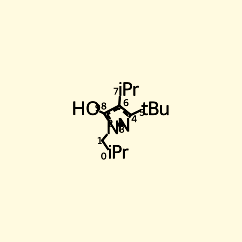 CC(C)Cn1nc(C(C)(C)C)c(C(C)C)c1O